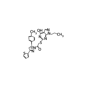 CCCn1ncc2c(O)nc(SCC(=O)N3N=C(c4cccs4)C[C@H]3c3ccc(C)cc3)nc21